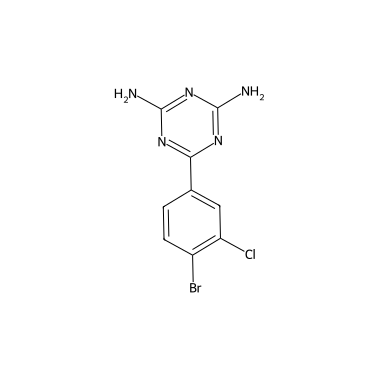 Nc1nc(N)nc(-c2ccc(Br)c(Cl)c2)n1